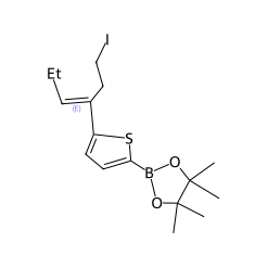 CC/C=C(\CCI)c1ccc(B2OC(C)(C)C(C)(C)O2)s1